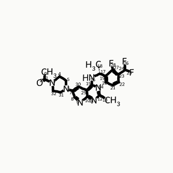 CC(=O)N1CCN(c2cnc3nc(C)nc(N[C@H](C)c4cccc(C(F)F)c4F)c3c2)CC1